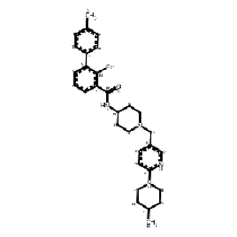 Cc1ccc(-c2cccc(C(=O)NC3CCN(Cc4ccc(N5CCC(C)CC5)nc4)CC3)c2F)cc1